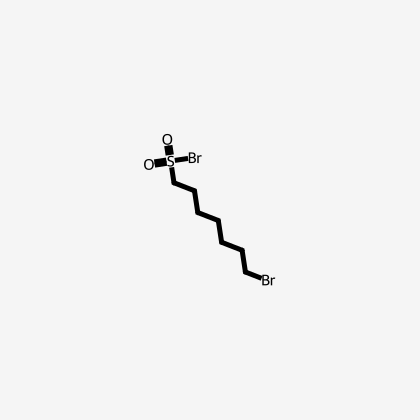 O=S(=O)(Br)CCCCCCCBr